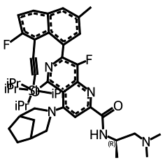 Cc1cc(-c2nc(OC(C)C)c3c(N4CC5CCC(C5)C4)cc(C(=O)N[C@H](C)CN(C)C)nc3c2F)c2c(C#C[Si](C(C)C)(C(C)C)C(C)C)c(F)ccc2c1